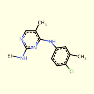 CCNc1ncc(C)c(Nc2ccc(Cl)c(C)c2)n1